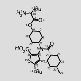 CC[C@H](C)[C@@H](N)C(=O)O[C@H]1CC[C@H](N(c2cc(C(C)(C)C)sc2C(=O)O)C(=O)[C@H]2CC[C@H](C)CC2)CC1